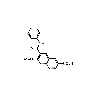 COc1cc2ccc(C(=O)O)cc2cc1C(=O)Nc1ccccc1